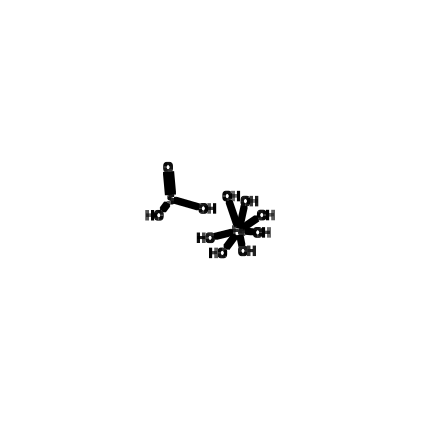 O=S(O)O.[OH][Fe]([OH])([OH])([OH])([OH])([OH])[OH]